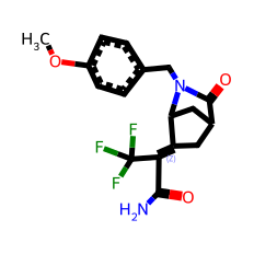 COc1ccc(CN2C(=O)C3C/C(=C(\C(N)=O)C(F)(F)F)C2C3)cc1